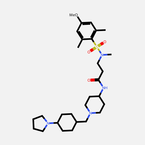 COc1cc(C)c(S(=O)(=O)N(C)CCC(=O)NC2CCN(CC3CCC(N4CCCC4)CC3)CC2)c(C)c1